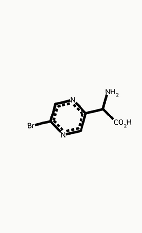 NC(C(=O)O)c1cnc(Br)cn1